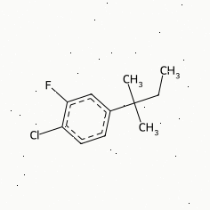 CCC(C)(C)c1ccc(Cl)c(F)c1